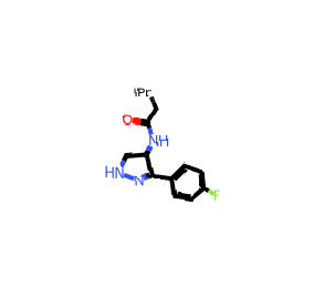 CC(C)CC(=O)NC1CNN=C1c1ccc(F)cc1